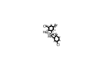 O=S(=O)(Nc1cc(Cl)ccc1I)c1cc(Br)cc(Cl)c1O